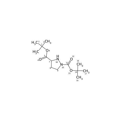 CC(C)(C)OC(=O)C1CCN(C(=O)OC(C)(C)C)N1